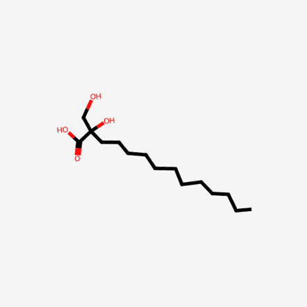 CCCCCCCCCCCCC(O)(CO)C(=O)O